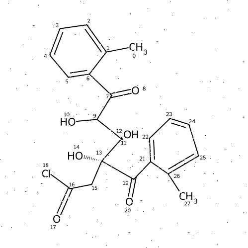 Cc1ccccc1C(=O)C(O)[C@H](O)[C@](O)(CC(=O)Cl)C(=O)c1ccccc1C